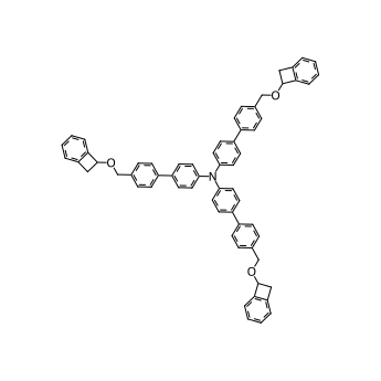 c1ccc2c(c1)CC2OCc1ccc(-c2ccc(N(c3ccc(-c4ccc(COC5Cc6ccccc65)cc4)cc3)c3ccc(-c4ccc(COC5Cc6ccccc65)cc4)cc3)cc2)cc1